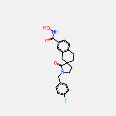 O=C(NO)c1ccc2c(c1)CC1(CC2)CCN(Cc2ccc(F)cc2)C1=O